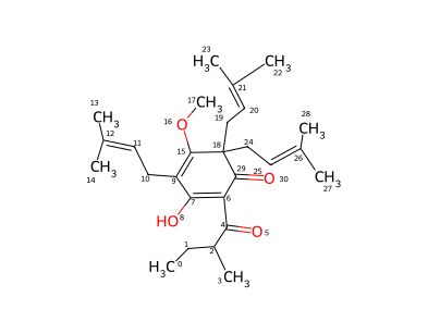 CCC(C)C(=O)C1=C(O)C(CC=C(C)C)=C(OC)C(CC=C(C)C)(CC=C(C)C)C1=O